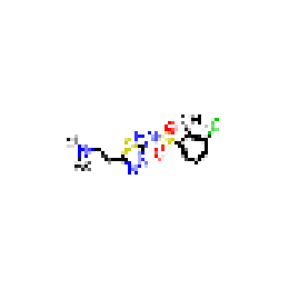 CCN(CCc1nnc(NS(=O)(=O)c2cccc(Cl)c2C)s1)C(C)=O